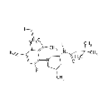 CC(C)=C1C(N2C[C@@H](C)C[C@@H](N(I)C(=O)CC(C)(C)C)C2)=C(F)C=C(C#N)/C1=N/C=C\I